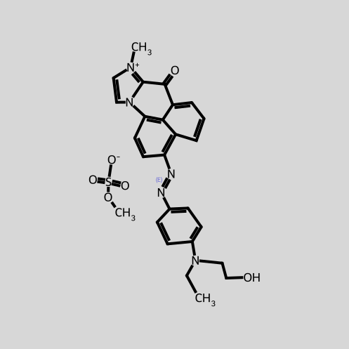 CCN(CCO)c1ccc(/N=N/c2ccc3c4c2cccc4c(=O)c2n3cc[n+]2C)cc1.COS(=O)(=O)[O-]